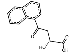 O=C(C[C@@H](O)C(=O)O)c1cccc2ccccc12